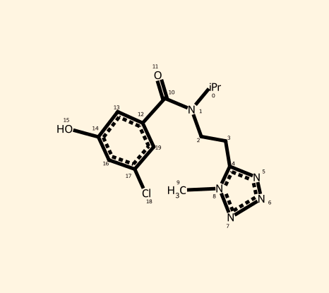 CC(C)N(CCc1nnnn1C)C(=O)c1cc(O)cc(Cl)c1